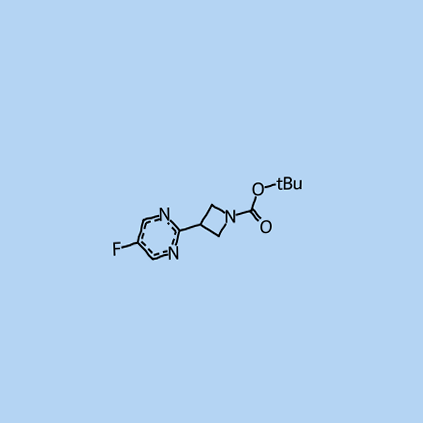 CC(C)(C)OC(=O)N1CC(c2ncc(F)cn2)C1